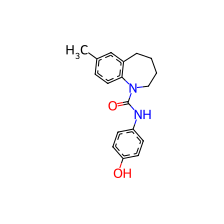 Cc1ccc2c(c1)CCCCN2C(=O)Nc1ccc(O)cc1